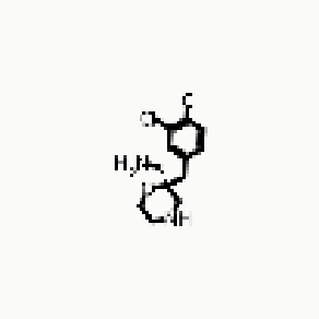 NC[C@]1(Cc2ccc(Cl)c(Cl)c2)CNCCO1